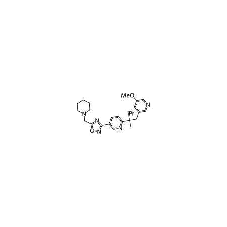 COc1cncc(CC(C)(c2ccc(-c3noc(CN4CCCCC4)n3)cn2)C(C)C)c1